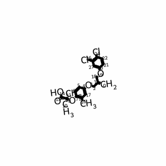 C=C(COc1ccc(OC(C)(C)C(=O)O)c(C)c1)COc1ccc(Cl)c(Cl)c1